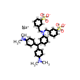 CN(C)c1ccc(C(=C2C=CC(=[N+](C)C)C=C2)c2cccc(N(Cc3cccc(S(=O)(=O)[O-])c3)Cc3cccc(S(=O)(=O)[O-])c3)c2)cc1.[Na+]